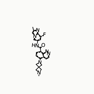 Cc1cn2cc(NC(=O)c3ccc(N4CC5(CN(C)C5)C4)c4ccnnc34)cc(F)c2n1